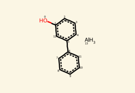 Oc1cccc(-c2ccccc2)c1.[AlH3]